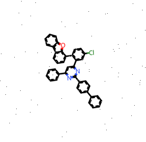 Clc1ccc(-c2cccc3c2oc2ccccc23)c(-c2cc(-c3ccccc3)nc(-c3ccc(-c4ccccc4)cc3)n2)c1